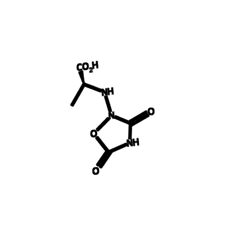 C[C@H](Nn1oc(=O)[nH]c1=O)C(=O)O